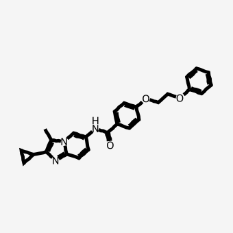 Cc1c(C2CC2)nc2ccc(NC(=O)c3ccc(OCCOc4ccccc4)cc3)cn12